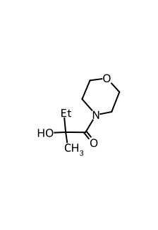 CCC(C)(O)C(=O)N1CCOCC1